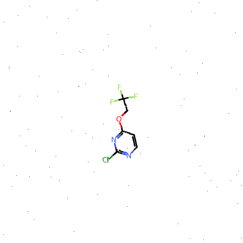 FC(F)(F)COc1ccnc(Cl)n1